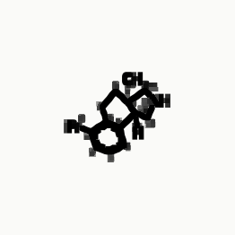 CC(C)c1cccc2c1CC[C@@]1(C)CNC[C@H]21